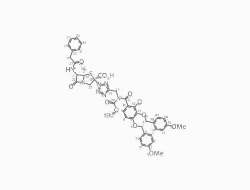 COc1ccc(COc2ccc(C(=O)N(Cc3nnn([C@]4(C(=O)O)CN5C(=O)[C@@H](NC(=O)Cc6ccccc6)[C@H]5S4)n3)C(=O)OC(C)(C)C)c(Cl)c2OCc2ccc(OC)cc2)cc1